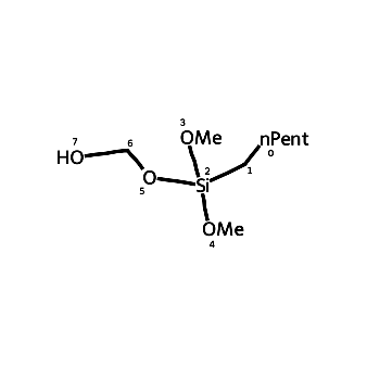 CCCCCC[Si](OC)(OC)OCO